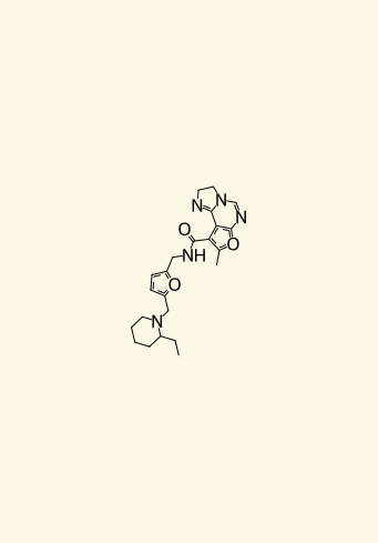 CCC1CCCCN1Cc1ccc(CNC(=O)c2c(C)oc3c2C2=NCCN2C=N3)o1